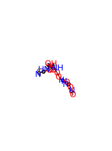 COc1ccc(COc2ccc3oc(N4CCN(CCOCCOCCC(=O)N[C@H](C(=O)N5C[C@H](O)C[C@H]5C(=O)NCc5ccc(-c6scnc6C)cc5)C(C)(C)C)CC4)nc3c2)nc1